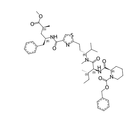 CC[C@H](C)[C@H](NC(=O)[C@H]1CCCCN1C(=O)OCc1ccccc1)C(=O)N(C)[C@H](CCc1nc(C(=O)N[C@@H](Cc2ccccc2)C[C@H](C)C(=O)OC)cs1)C(C)C